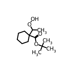 CC(OO)C1(C(=O)OC(C)(C)C)CCCCC1